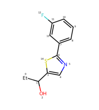 CCC(O)c1cnc(-c2cccc(F)c2)s1